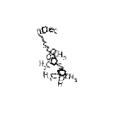 CCCCCCCCCCCCCCSCCC(=O)Oc1c(C)cc(Sc2cc(C)c(O)c(C)c2)cc1C